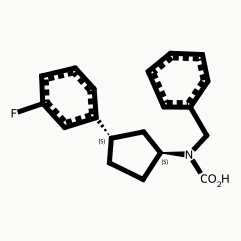 O=C(O)N(Cc1ccccc1)[C@H]1CC[C@H](c2cccc(F)c2)C1